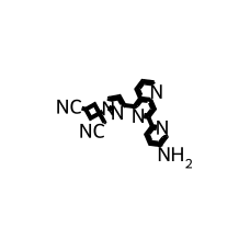 N#CCC1(n2ccc(-c3nc(-c4ccc(N)cn4)cc4ncccc34)n2)CC(C#N)C1